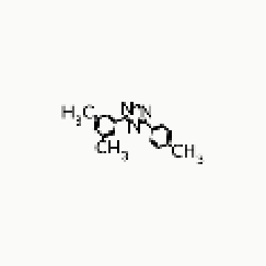 Cc1ccc(-c2ncnc(-c3cc(C)cc(C)c3)n2)cc1